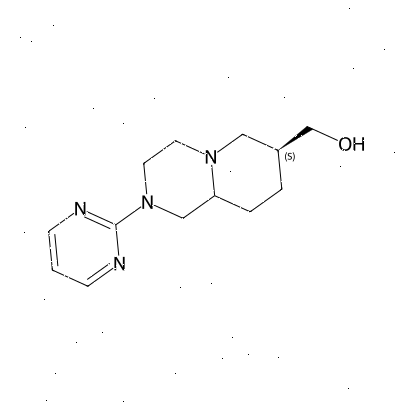 OC[C@H]1CCC2CN(c3ncccn3)CCN2C1